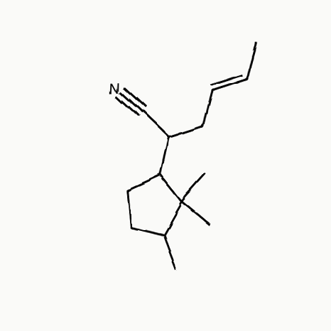 CC=CCC(C#N)C1CCC(C)C1(C)C